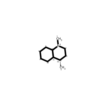 C[C@H]1CCN(C)C2CCCCC21